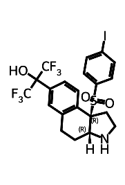 O=S(=O)(c1ccc(I)cc1)[C@@]12CCN[C@@H]1CCc1cc(C(O)(C(F)(F)F)C(F)(F)F)ccc12